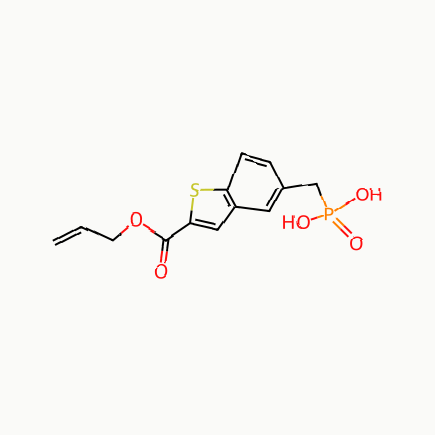 C=CCOC(=O)c1cc2cc(CP(=O)(O)O)ccc2s1